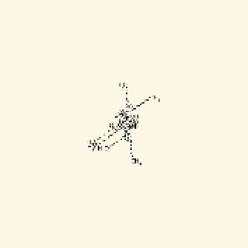 CCCCCCCCCCC[C@H](CC(=O)NC1C(OC[C@H](NC(=O)C[C@@H](CCCCCCCCCCC)OC(=O)CCCCCCCCC)C(=O)O)OC(CO)C(OS(=O)(=O)O)C1NC(=O)C[C@@H](CCCCCCCCCCC)OC(=O)CCCCCCCCC)OC(=O)CCCCCCCCC